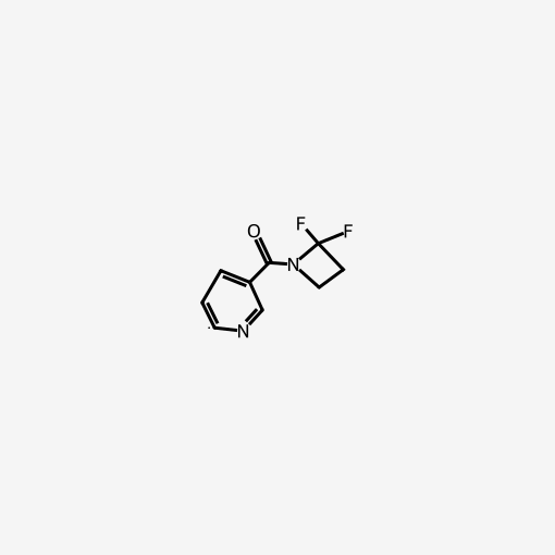 O=C(c1cc[c]nc1)N1CCC1(F)F